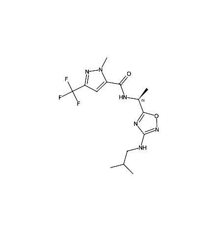 CC(C)CNc1noc([C@H](C)NC(=O)c2cc(C(F)(F)F)nn2C)n1